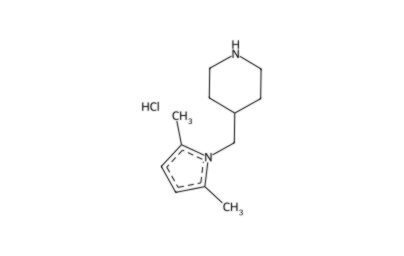 Cc1ccc(C)n1CC1CCNCC1.Cl